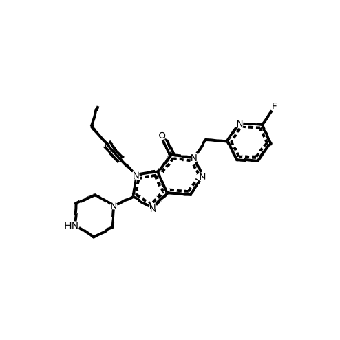 CCC#Cn1c(N2CCNCC2)nc2cnn(Cc3cccc(F)n3)c(=O)c21